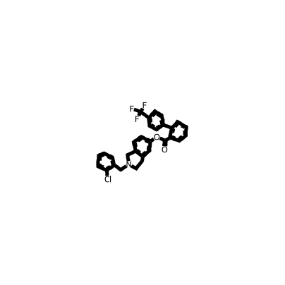 O=C(Oc1ccc2c(c1)CCN(Cc1ccccc1Cl)C2)c1ccccc1-c1ccc(C(F)(F)F)cc1